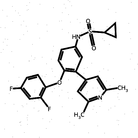 Cc1cc(-c2cc(NS(=O)(=O)C3CC3)ccc2Oc2ccc(F)cc2F)cc(C)n1